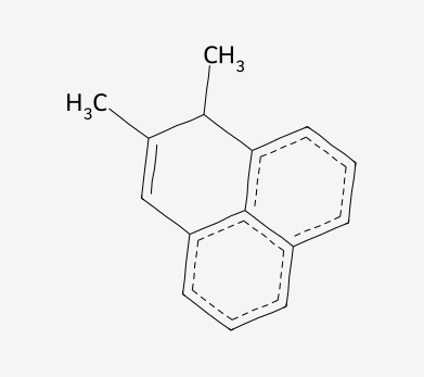 CC1=Cc2cccc3cccc(c23)C1C